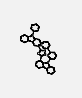 c1ccc(-n2c3ccccc3c3cc(-c4nnc(-c5cccc6c7ccccc7n(-c7cccc(-c8cccnc8)n7)c56)o4)ccc32)cc1